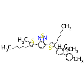 CCCCCCc1cc(-c2ccc(-c3cc(CCCCCC)c(C4=CC=C5c6ccc(C)cc6[Si](C)(C)C5C4)s3)c3nsnc23)sc1C